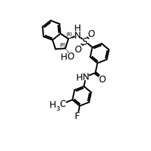 Cc1cc(NC(=O)c2cccc(S(=O)(=O)N[C@@H]3c4ccccc4C[C@H]3O)c2)ccc1F